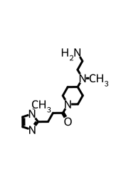 CN(CCN)C1CCN(C(=O)CCc2nccn2C)CC1